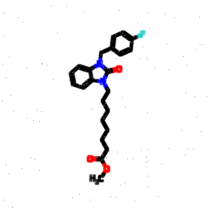 COC(=O)CCCCCCCn1c(=O)n(Cc2ccc(F)cc2)c2ccccc21